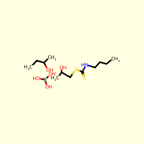 CCC(C)O.CCCCNC(=S)SCC(C)O.OB(O)O